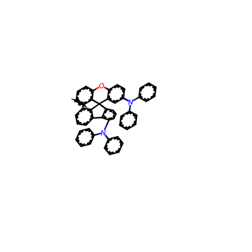 c1ccc(N(c2ccccc2)c2ccc3c(c2)C2(c4ccccc4-c4c(N(c5ccccc5)c5ccccc5)cccc42)c2c(ccc4ccccc24)O3)cc1